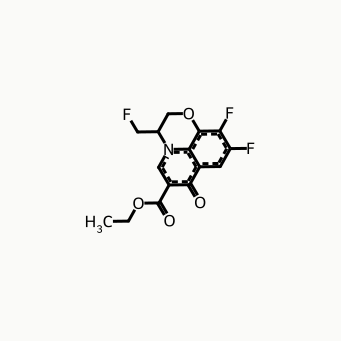 CCOC(=O)c1cn2c3c(c(F)c(F)cc3c1=O)OCC2CF